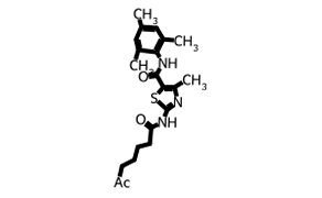 CC(=O)CCCCC(=O)Nc1nc(C)c(C(=O)Nc2c(C)cc(C)cc2C)s1